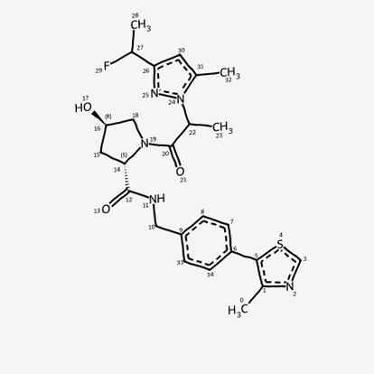 Cc1ncsc1-c1ccc(CNC(=O)[C@@H]2C[C@@H](O)CN2C(=O)C(C)n2nc(C(C)F)cc2C)cc1